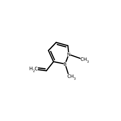 C=CC1=CC=CN(C)B1C